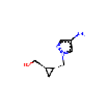 Nc1cnn(C[C@@H]2C[C@H]2CO)c1